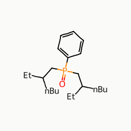 CCCCC(CC)CP(=O)(CC(CC)CCCC)c1ccccc1